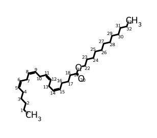 CCCCC/C=C\C/C=C\C/C=C\C/C=C\CCCC(=O)OCCCCCCCCCCCC